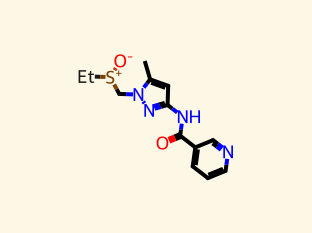 CC[S+]([O-])Cn1nc(NC(=O)c2cccnc2)cc1C